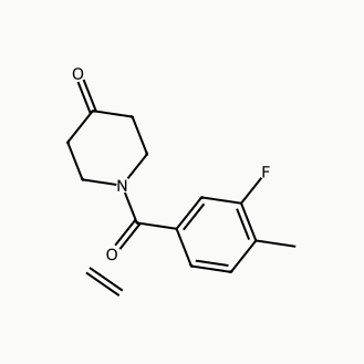 C=C.Cc1ccc(C(=O)N2CCC(=O)CC2)cc1F